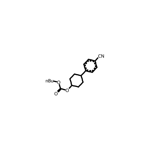 CCCCOC(=O)OC1CCC(c2ccc(C#N)cc2)CC1